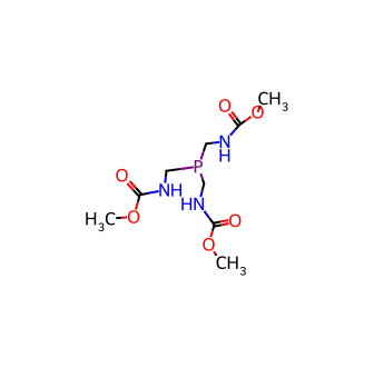 COC(=O)NCP(CNC(=O)OC)CNC(=O)OC